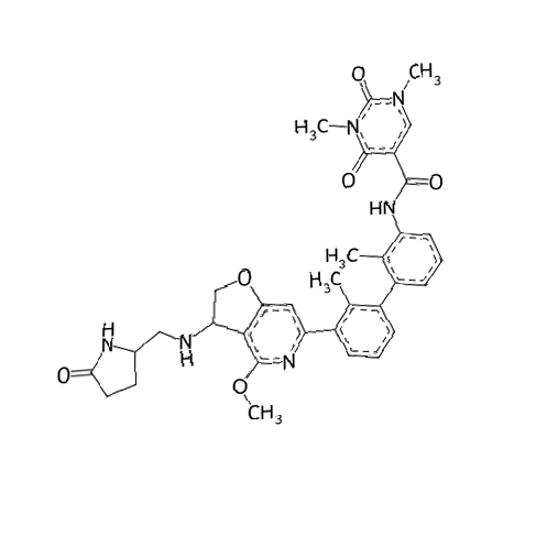 COc1nc(-c2cccc(-c3cccc(NC(=O)c4cn(C)c(=O)n(C)c4=O)c3C)c2C)cc2c1C(NCC1CCC(=O)N1)CO2